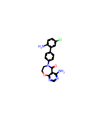 Nc1ccc(Cl)cc1-c1ccc(N2CCOc3ncnc(N)c3C2=O)cc1